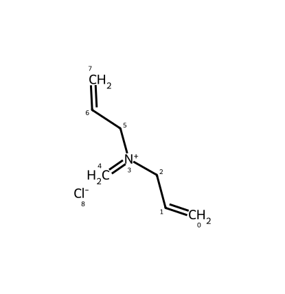 C=CC[N+](=C)CC=C.[Cl-]